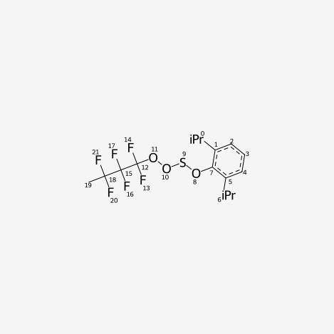 CC(C)c1cccc(C(C)C)c1OSOOC(F)(F)C(F)(F)C(C)(F)F